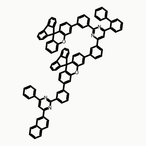 c1ccc(-c2cc(-c3ccc4ccccc4c3)nc(-c3cccc(-c4ccc5c(c4)Oc4cc(-c6cccc(-c7cc(-c8ccccc8-c8ccccc8)nc(-c8cccc(-c9ccc%10c(c9)Oc9ccccc9C%109c%10ccccc%10-c%10ccccc%109)c8)n7)c6)ccc4C54c5ccccc5-c5ccccc54)c3)n2)cc1